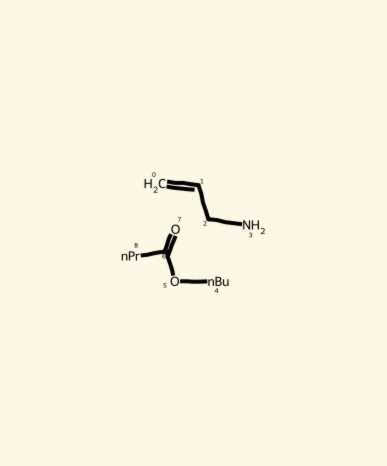 C=CCN.CCCCOC(=O)CCC